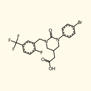 O=C(O)CC1CN(Cc2cc(C(F)(F)F)ccc2F)C(=O)N(c2ccc(Br)cc2)C1